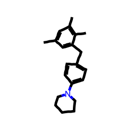 Cc1cc(C)c(C)c(Cc2ccc(N3CCCCC3)cc2)c1